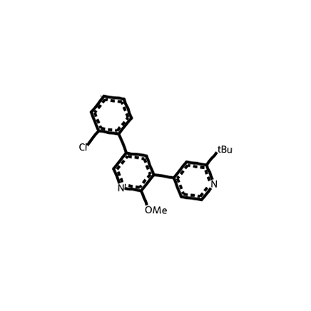 COc1ncc(-c2cc[c]cc2Cl)cc1-c1ccnc(C(C)(C)C)c1